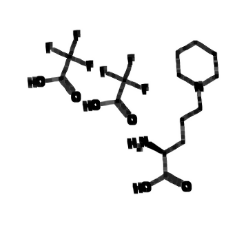 N[C@@H](CCCN1CCCCC1)C(=O)O.O=C(O)C(F)(F)F.O=C(O)C(F)(F)F